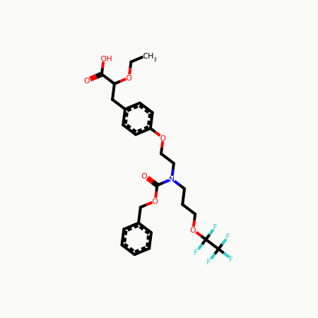 CCOC(Cc1ccc(OCCN(CCCOC(F)(F)C(F)(F)F)C(=O)OCc2ccccc2)cc1)C(=O)O